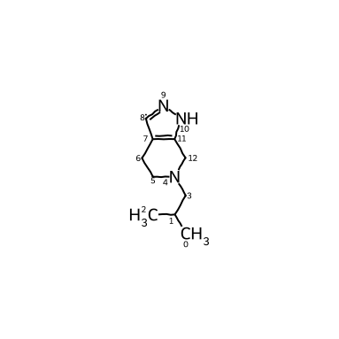 CC(C)CN1CCc2[c]n[nH]c2C1